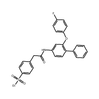 CCS(=O)(=O)c1ccc(CC(=O)Nc2ccc(-c3ccccc3)c(Oc3ccc(F)cc3)c2)cc1